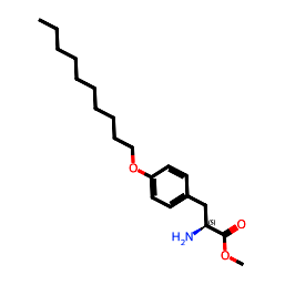 CCCCCCCCCCOc1ccc(C[C@H](N)C(=O)OC)cc1